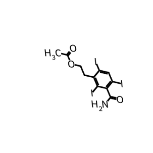 CC(=O)OCCc1c(I)cc(I)c(C(N)=O)c1I